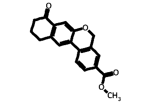 COC(=O)c1ccc2c(c1)COc1cc3c(cc1-2)CCCC3=O